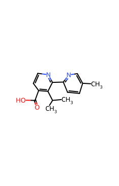 Cc1ccc(-c2nccc(C(=O)O)c2C(C)C)nc1